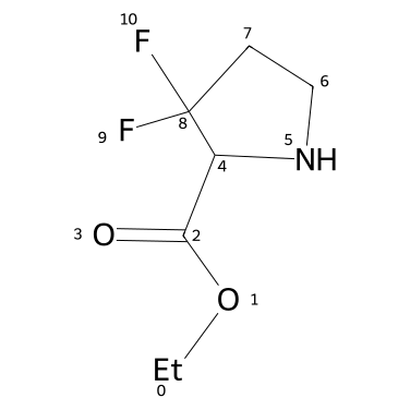 CCOC(=O)C1NCCC1(F)F